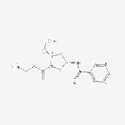 NCCC(=O)N1C[C@H](NC(=O)c2ccccc2)C[C@@H]1OC(=O)O